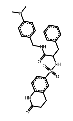 CN(C)c1ccc(CNC(=O)C(Cc2ccccc2)NS(=O)(=O)c2ccc3c(c2)CCC(=O)N3)cc1